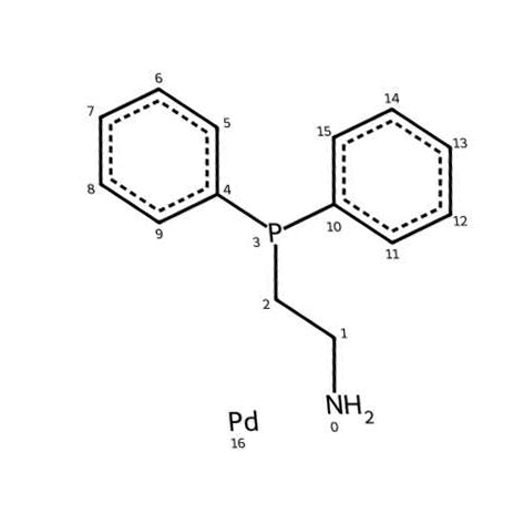 NCCP(c1ccccc1)c1ccccc1.[Pd]